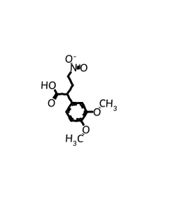 COc1ccc(C(CC[N+](=O)[O-])C(=O)O)cc1OC